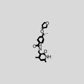 Cc1cc(C)c(CNC(=O)c2ccc([C@@H](C)O[C@H]3CCOC3)cc2)c(=O)[nH]1